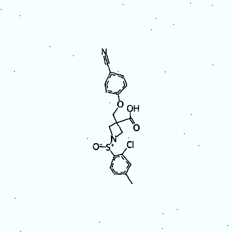 Cc1ccc([S+]([O-])N2CC(COc3ccc(C#N)cc3)(C(=O)O)C2)c(Cl)c1